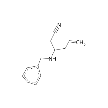 C=CCC(CC#N)NCc1ccccc1